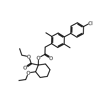 CCOC(=O)C1(OC(=O)Cc2cc(C)c(-c3ccc(Cl)cc3)cc2C)CCCCC1OCC